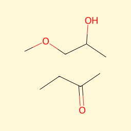 CCC(C)=O.COCC(C)O